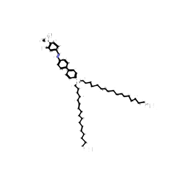 CCCCCCCCCCCCCCCCCCN(CCCCCCCCCCCCCCCCCC)c1ccc(-c2ccc(/C=C/c3ccc([N+](=O)[O-])c(F)c3)cc2)cc1